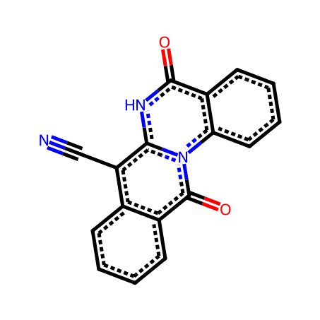 N#Cc1c2ccccc2c(=O)n2c1[nH]c(=O)c1ccccc12